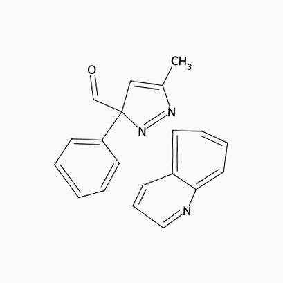 CC1=CC(C=O)(c2ccccc2)N=N1.c1ccc2ncccc2c1